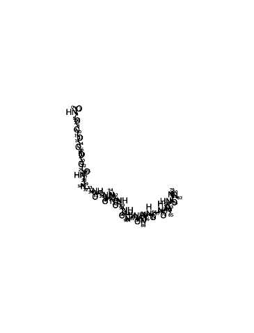 CC(=O)NCCOCCOCCOCCOCCOCCOCCC(=O)NCCCN(C)CCCNC(=O)CCNC(=O)c1nc(NC(=O)CCNC(=O)c2cc(NC(=O)c3nc(NC(=O)CCNC(=O)c4cc(NC(=O)c5nccn5C)cn4C)cn3C)cn2C)cn1C